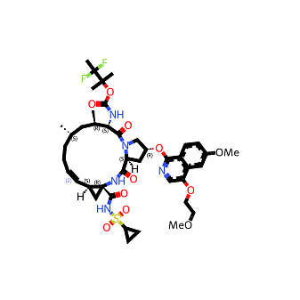 COCCOc1cnc(O[C@@H]2C[C@H]3C(=O)N[C@]4(C(=O)NS(=O)(=O)C5CC5)C[C@H]4/C=C\CC[C@H](C)C[C@@H](C)[C@H](NC(=O)OC(C)(C)C(C)(F)F)C(=O)N3C2)c2ccc(OC)cc12